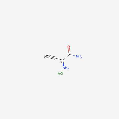 C#C[C@H](N)C(N)=O.Cl